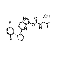 CC(C)[C@@H](CO)NC(=O)Oc1cnn2ccc(N3CCC[C@@H]3c3cc(F)ccc3F)nc12